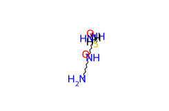 NCCCCCCCCNC(=O)CCCC[C@@H]1SC[C@@H]2NC(=O)N[C@@H]21